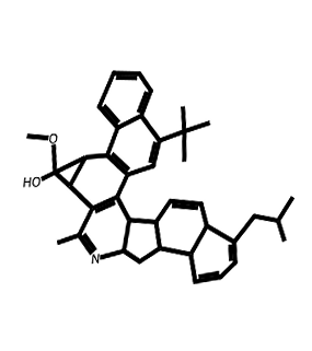 COC1(O)C2C3=C(c4cc(C(C)(C)C)c5ccccc5c4C21)C1C(CC2C4C=CC=C(CC(C)C)C4C=CC21)N=C3C